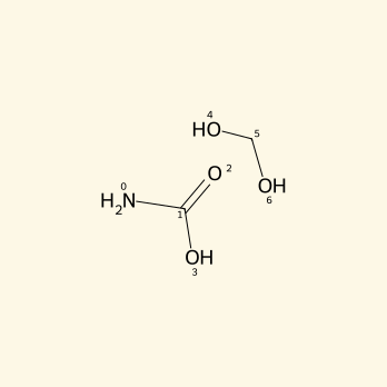 NC(=O)O.OCO